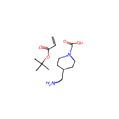 C=CC(=O)OC(C)(C)C.NCC1CCN(C(=O)O)CC1